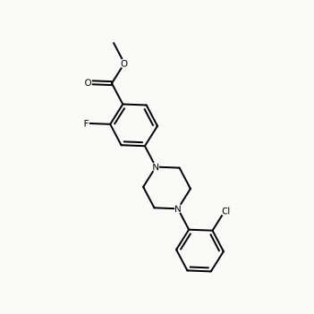 COC(=O)c1ccc(N2CCN(c3ccccc3Cl)CC2)cc1F